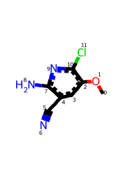 COc1cc(C#N)c(N)nc1Cl